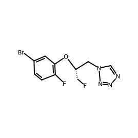 FC[C@@H](Cn1cnnn1)Oc1cc(Br)ccc1F